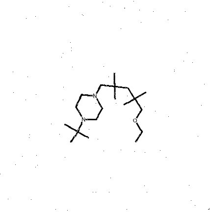 CCOCC(C)(C)CC(C)(C)CN1CCN(C(C)(C)C)CC1